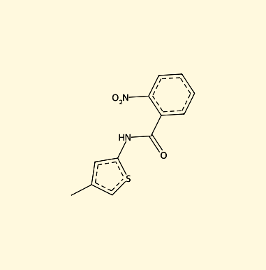 Cc1csc(NC(=O)c2ccccc2[N+](=O)[O-])c1